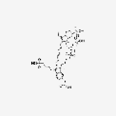 CCN1/C(=C/C=C/C=C/C=C/C2=[N+](CCCCS(=O)(=O)O)c3ccc(CC(=O)O)cc3C2(C)CCCCS(=O)(=O)O)C(C)(CCCCS(=O)(=O)O)c2cc(S(=O)(=O)O)ccc21